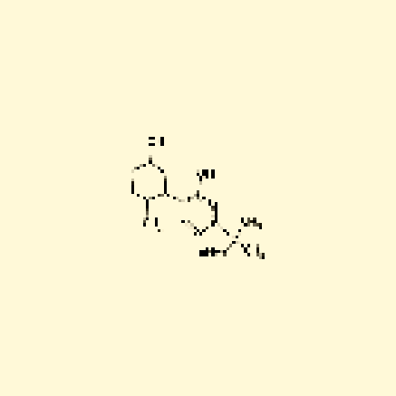 CCCCCCC(C)(C)c1ccc(C2CC(O)CCC2C)c(O)c1